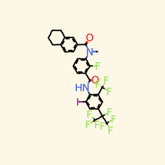 CN(C(=O)c1ccc2c(c1)CCCC2)c1cccc(C(=O)Nc2c(I)cc(C(F)(C(F)(F)F)C(F)(F)F)cc2C(F)(F)F)c1F